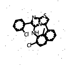 Cc1cccc(Cl)c1Nc1c(-c2ccccc2Cl)nc2scc(-c3ccccc3)n12